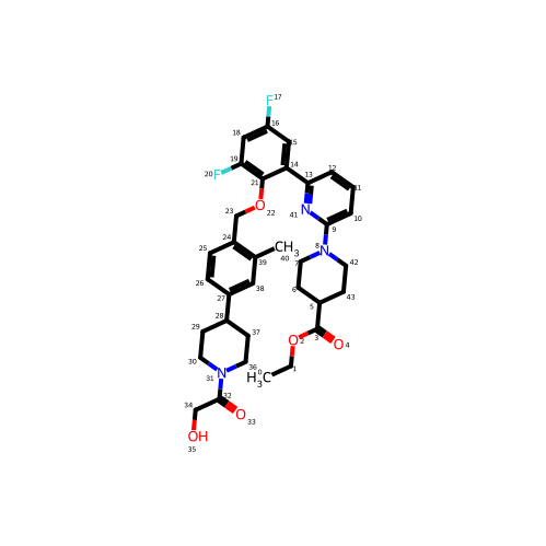 CCOC(=O)C1CCN(c2cccc(-c3cc(F)cc(F)c3OCc3ccc(C4CCN(C(=O)CO)CC4)cc3C)n2)CC1